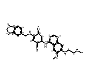 COCCOc1cc2ncnc(NC3=CC(=O)C(OCc4ccc5c(c4)OCO5)=CC3=O)c2cc1OC